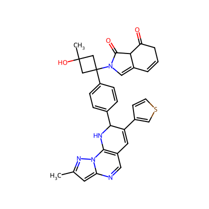 Cc1cc2ncc3c(n2n1)NC(c1ccc(C2(N4C=C5C=CCC(=O)C5C4=O)CC(C)(O)C2)cc1)C(c1ccsc1)=C3